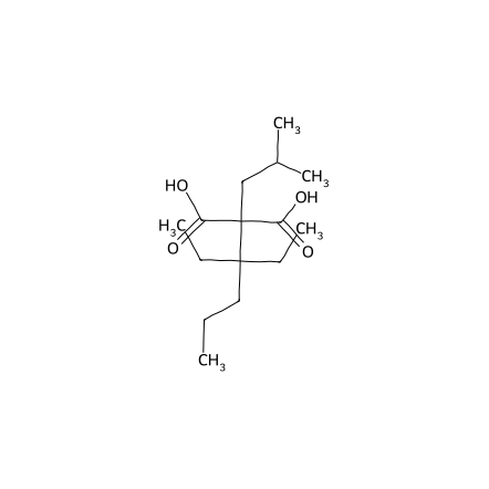 CCCC(CC)(CC)C(CC(C)C)(C(=O)O)C(=O)O